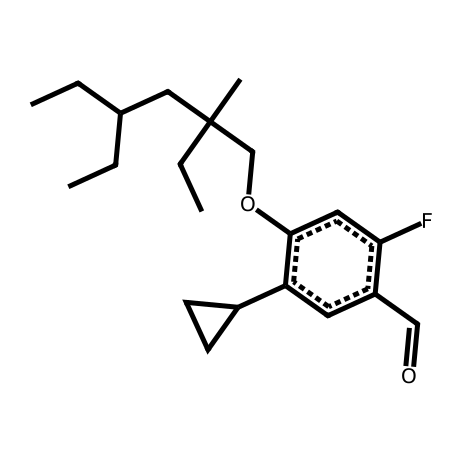 CCC(CC)CC(C)(CC)COc1cc(F)c(C=O)cc1C1CC1